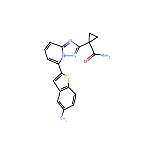 NC(=O)C1(c2nc3cccc(-c4cc5cc(N)ccc5s4)n3n2)CC1